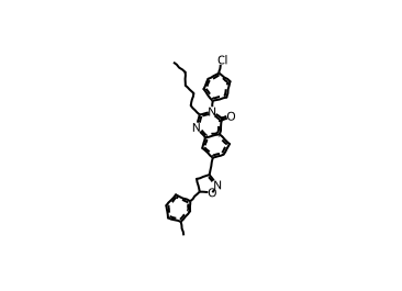 CCCCCc1nc2cc(C3=NOC(c4cccc(C)c4)C3)ccc2c(=O)n1-c1ccc(Cl)cc1